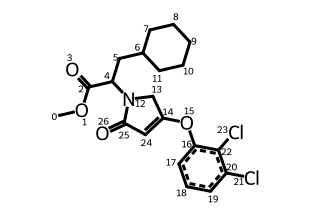 COC(=O)C(CC1CCCCC1)N1CC(Oc2cccc(Cl)c2Cl)=CC1=O